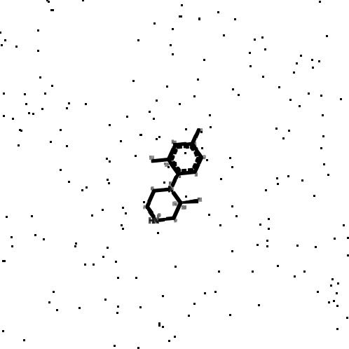 Cc1ccc(N2CCNC[C@@H]2C)c(C)c1